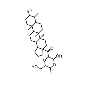 CC1OC(O)C(C(=O)C23CCCC2C2CCC4C5(C)CCC(O)C(C)C5CCC4(C)[C@]2(C)CC3)OC1CO